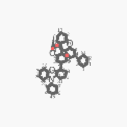 c1ccc(-c2ccc3c(c2)Oc2ccccc2C32c3ccccc3Oc3cc(-c4cccc5c4Oc4ccccc4N5c4ccccc4)ccc32)cc1